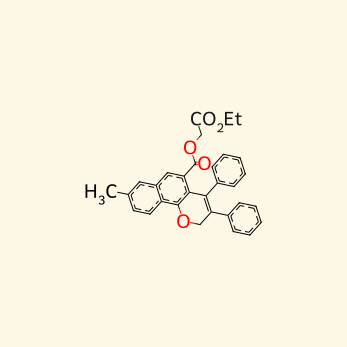 CCOC(=O)COC(=O)c1cc2cc(C)ccc2c2c1C(c1ccccc1)=C(c1ccccc1)CO2